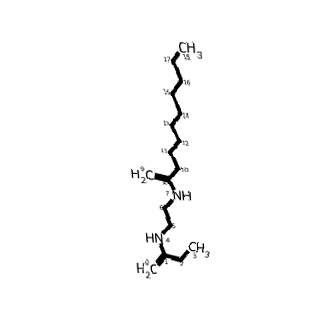 C=C(CC)NCCNC(=C)CCCCCCCCC